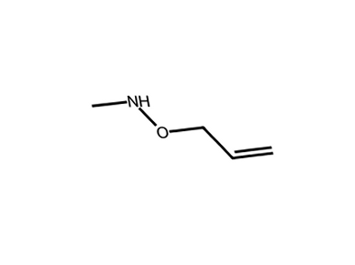 C=CCONC